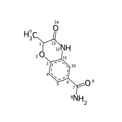 CC1Oc2ccc(C(N)=O)cc2NC1=O